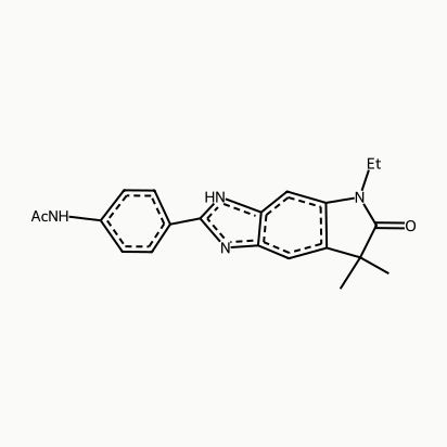 CCN1C(=O)C(C)(C)c2cc3nc(-c4ccc(NC(C)=O)cc4)[nH]c3cc21